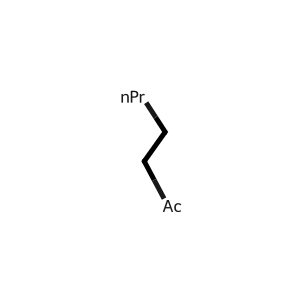 [CH]C(=O)CCCCC